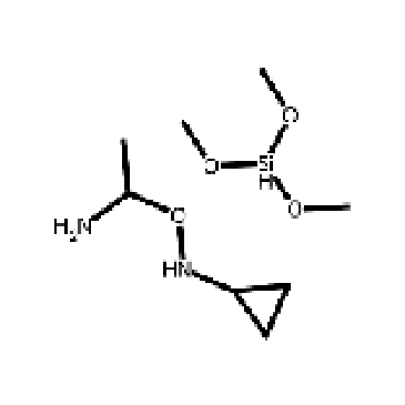 CC(N)ONC1CC1.CO[SiH](OC)OC